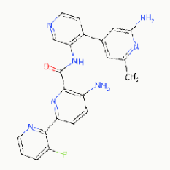 Cc1cc(-c2ccncc2NC(=O)c2nc(-c3ncccc3F)ccc2N)cc(N)n1